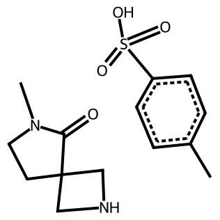 CN1CCC2(CNC2)C1=O.Cc1ccc(S(=O)(=O)O)cc1